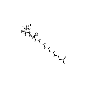 CC(C)CCCCCCCCCCCC(=O)OCC(F)(F)S(=O)(=O)O